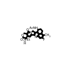 CC[C@@]1(O)C(=O)OCc2c1cc1n(c2=O)Cc2c-1nc1cc(F)c(C)c3c1c2[C@@H](NC(C)=O)CC3